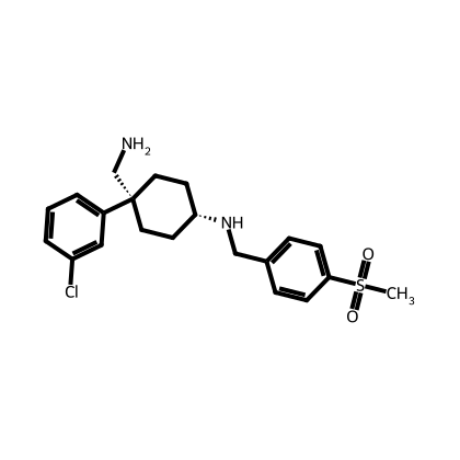 CS(=O)(=O)c1ccc(CN[C@H]2CC[C@](CN)(c3cccc(Cl)c3)CC2)cc1